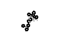 CC1(C)c2ccccc2-c2c1c1c(c3ccccc23)c2ccccc2n1-c1ccc2nc(-c3ccc4c5ccccc5n(-c5ccccc5)c4c3)ccc2n1